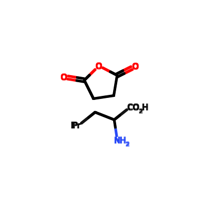 CC(C)CC(N)C(=O)O.O=C1CCC(=O)O1